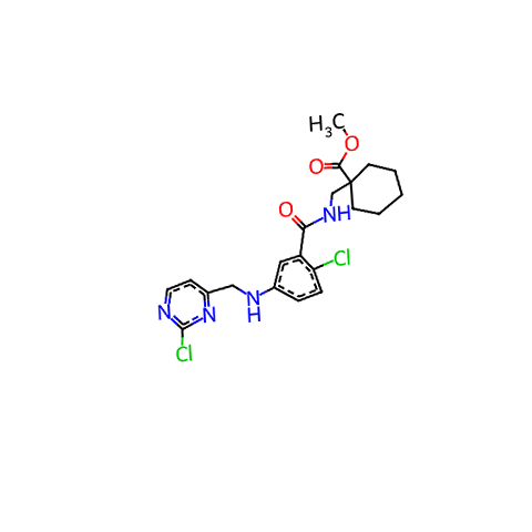 COC(=O)C1(CNC(=O)c2cc(NCc3ccnc(Cl)n3)ccc2Cl)CCCCC1